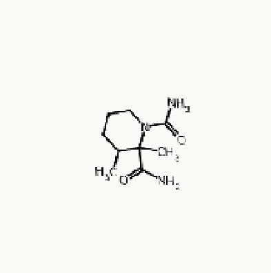 CC1CCCN(C(N)=O)C1(C)C(N)=O